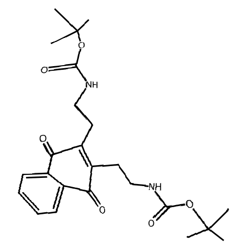 CC(C)(C)OC(=O)NCCC1=C(CCNC(=O)OC(C)(C)C)C(=O)c2ccccc2C1=O